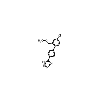 COCc1cc(Cl)ccc1-c1ccc(-c2nnn[nH]2)cc1